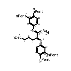 CCCCCCCCCCCCCC(=N\c1ccc(CCCCC)c(CCCCC)c1)/C(CCCC)=N/c1ccc(CCCCC)c(CCCCC)c1.[Pd]